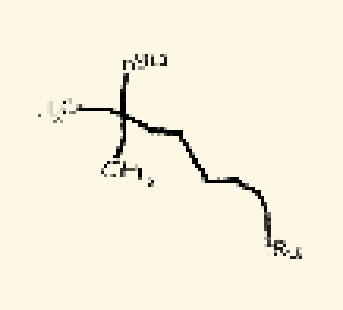 CCCCC(C)(C)C[CH]CC(C)(C)C